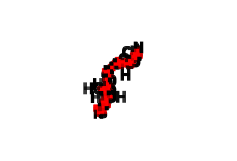 Cc1ncsc1-c1ccc([C@H](CO)NC(=O)[C@@H]2C[C@@H](O)CN2C(=O)[C@H](C)NC(=O)CN2CCN(CCCc3ccc(C(=O)N[C@H]4C(C)(C)[C@H](Oc5ccc(C#N)c(Cl)c5)C4(C)C)cc3)CC2)cc1